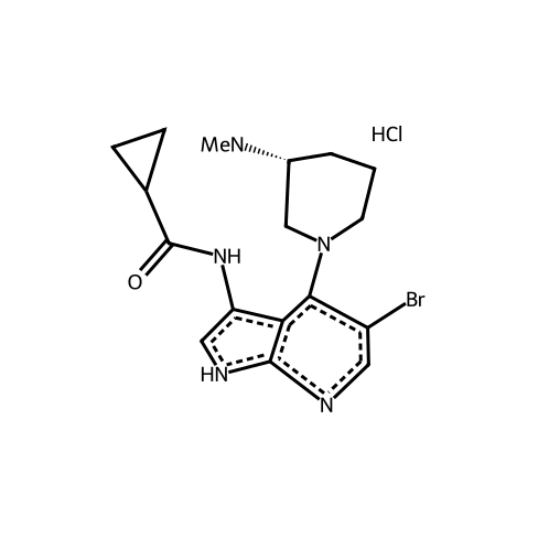 CN[C@@H]1CCCN(c2c(Br)cnc3[nH]cc(NC(=O)C4CC4)c23)C1.Cl